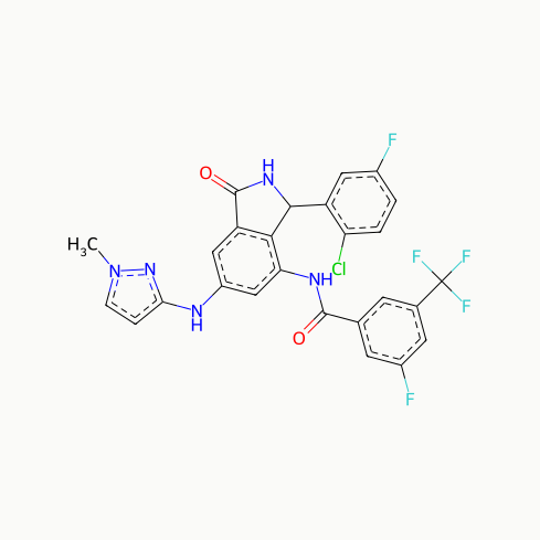 Cn1ccc(Nc2cc(NC(=O)c3cc(F)cc(C(F)(F)F)c3)c3c(c2)C(=O)NC3c2cc(F)ccc2Cl)n1